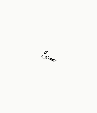 O=[P].[Li].[Zr]